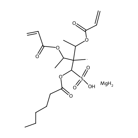 [CH2]C(C(C)OC(=O)C=C)(C(C)OC(=O)C=C)C(OC(=O)CCCCC)S(=O)(=O)O.[MgH2]